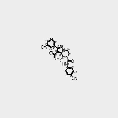 N#Cc1ccc(NC(=O)N2CCn3nc(-c4cncc(Cl)c4)c(C(N)=O)c3C2)cc1